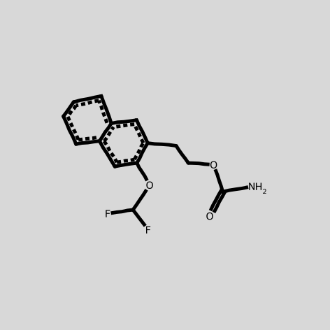 NC(=O)OCCc1cc2ccccc2cc1OC(F)F